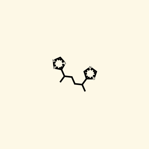 CC(CCC(C)c1nncs1)c1cnco1